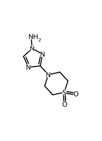 Nn1cnc(N2CCS(=O)(=O)CC2)n1